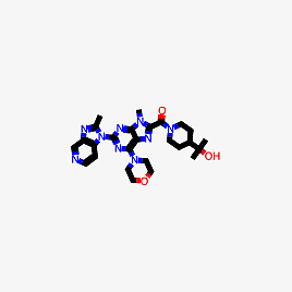 Cc1nc2cnccc2n1-c1nc(N2CCOCC2)c2nc(C(=O)N3CCC(C(C)(C)O)CC3)n(C)c2n1